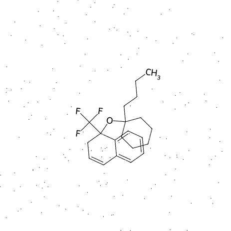 CCCCC1(OC2(C(F)(F)F)CC=Cc3ccccc32)CCCCC1